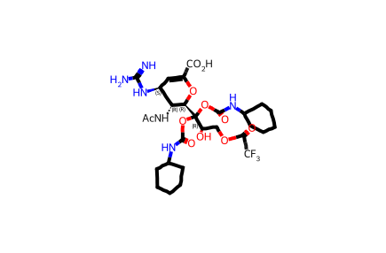 CC(=O)N[C@@H]1[C@@H](NC(=N)N)C=C(C(=O)O)O[C@H]1C(OC(=O)NC1CCCCC1)(OC(=O)NC1CCCCC1)[C@H](O)COC(=O)C(F)(F)F